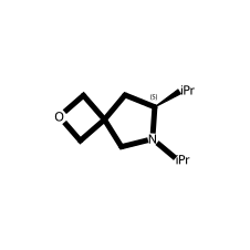 CC(C)[C@@H]1CC2(COC2)CN1C(C)C